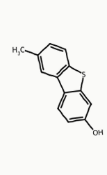 Cc1ccc2sc3cc(O)ccc3c2c1